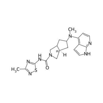 Cc1nsc(NC(=O)N2CC3CC(N(C)c4ccnc5[nH]ccc45)C[C@H]3C2)n1